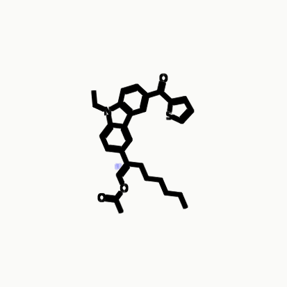 CCCCCC/C(=C\OC(C)=O)c1ccc2c(c1)c1cc(C(=O)c3cccs3)ccc1n2CC